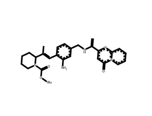 C=C(NCc1ccc(/C=C(\C)C2CCCCN2C(=O)OC(C)(C)C)c(N)c1)c1cc(=O)n2ccccc2n1